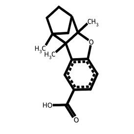 CC12CCC(C1)C1(C)Oc3ccc(C(=O)O)cc3C21C